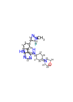 Cn1ncc(-c2ccc3[nH]c4ncnc(NC5CCC(N6CCOCC6)CC5)c4c3c2)c1F